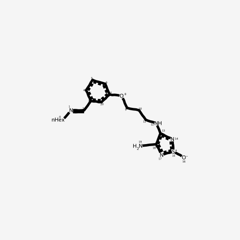 CCCCCCN=Cc1cccc(OCCCNc2n[s+]([O-])nc2N)c1